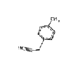 C#CCc1ccc(C)cc1